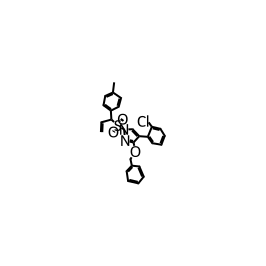 C=CC(c1ccc(C)cc1)S(=O)(=O)n1cc(-c2ccccc2Cl)c(OCc2ccccc2)n1